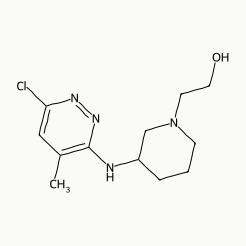 Cc1cc(Cl)nnc1NC1CCCN(CCO)C1